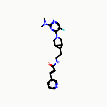 CN(C)c1ncc(F)c(N2CC3C(CCNC(=O)/C=C/c4cccnc4)C3C2)n1